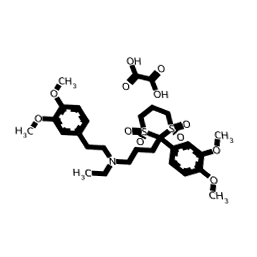 CCN(CCCC1(c2ccc(OC)c(OC)c2)S(=O)(=O)CCCS1(=O)=O)CCc1ccc(OC)c(OC)c1.O=C(O)C(=O)O